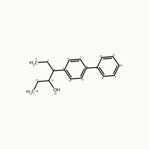 [CH2]CC(c1ccc(-c2ccccc2)cc1)C(O)CC